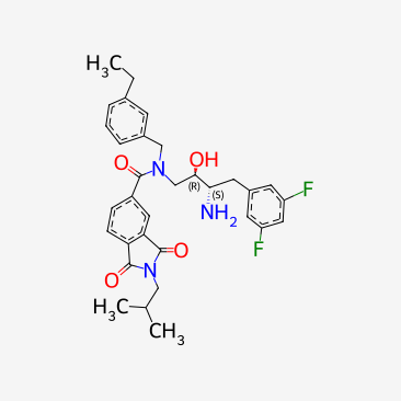 CCc1cccc(CN(C[C@@H](O)[C@@H](N)Cc2cc(F)cc(F)c2)C(=O)c2ccc3c(c2)C(=O)N(CC(C)C)C3=O)c1